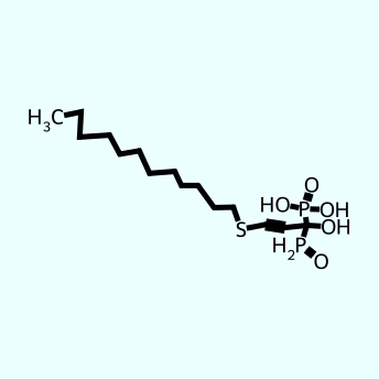 CCCCCCCCCCCCSC#CC(O)([PH2]=O)P(=O)(O)O